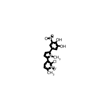 Cc1ccc(-c2ccc(-c3cc(O)c(O)c([N+](=O)[O-])c3)n2C)c(Cl)[n+]1[O-]